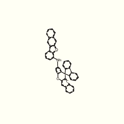 c1ccc2c(c1)-c1ccccc1C21c2cc(Nc3cccc4c3oc3cc5ccccc5cc34)ccc2Oc2cc3ccccc3cc21